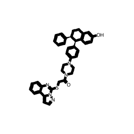 O=C(CSc1nc2ccccc2c2ccnn12)N1CCN(c2ccc([C@@H]3c4ccc(O)cc4CC[C@@H]3c3ccccc3)cc2)CC1